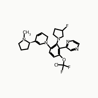 CN1CCC[C@@H]1C1=CN(c2ccc(OC(F)(F)Cl)c(-c3cnccn3)c2N2CCC(F)C2)CC=C1